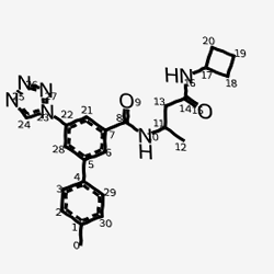 Cc1ccc(-c2cc(C(=O)NC(C)CC(=O)NC3CCC3)cc(-n3cnnn3)c2)cc1